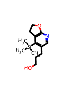 C[Si](C)(C)c1c(CCCO)cnc2c1CCO2